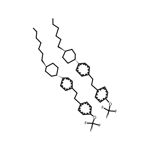 CCCCCCC[C@H]1CC[C@H](c2ccc(CCc3ccc(OC(F)(F)F)cc3)cc2)CC1.CCCCCC[C@H]1CC[C@H](c2ccc(CCc3ccc(OC(F)(F)F)cc3)cc2)CC1